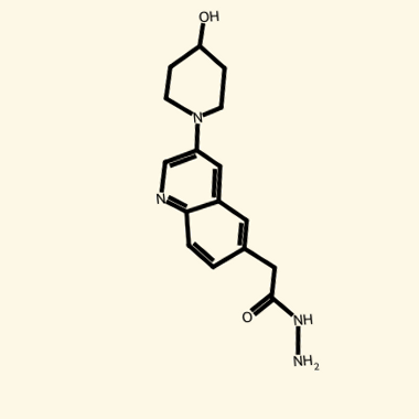 NNC(=O)Cc1ccc2ncc(N3CCC(O)CC3)cc2c1